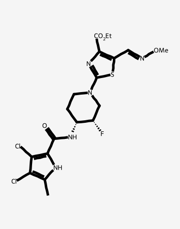 CCOC(=O)c1nc(N2CC[C@@H](NC(=O)c3[nH]c(C)c(Cl)c3Cl)[C@@H](F)C2)sc1C=NOC